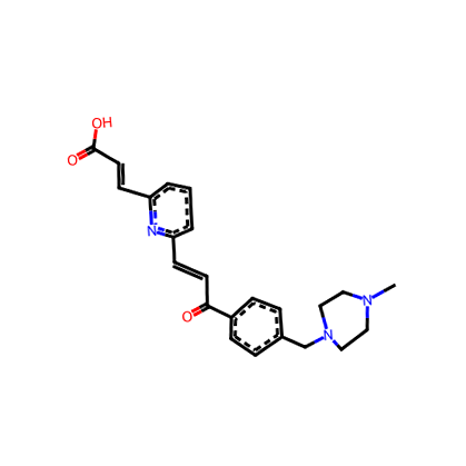 CN1CCN(Cc2ccc(C(=O)C=Cc3cccc(C=CC(=O)O)n3)cc2)CC1